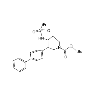 CC(C)S(=O)(=O)NC1CCN(C(=O)OC(C)(C)C)CC1c1ccc(-c2ccccc2)cc1